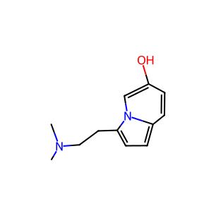 CN(C)CCc1ccc2ccc(O)cn12